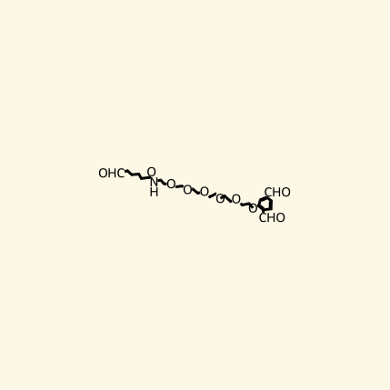 O=CCCCCC(=O)NCCOCCOCCOCCOCCOCCOc1cc(C=O)ccc1C=O